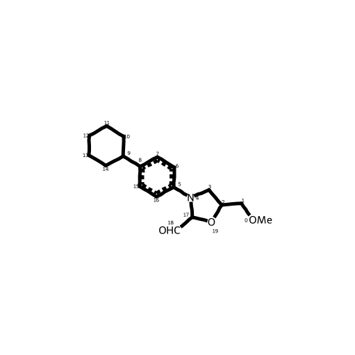 COCC1CN(c2ccc(C3CCCCC3)cc2)C(C=O)O1